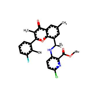 Cc1cc([C@@H](C)Nc2ccc(Cl)nc2C(=O)OC(C)(C)C)c2oc(-c3cccc(F)c3C#N)c(C)c(=O)c2c1